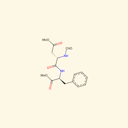 COC(=O)C[C@H](NC=O)C(=O)N[C@@H](Cc1ccccc1)C(=O)OC